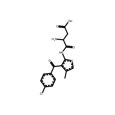 Cc1csc(NC(=O)C(N)CC(=O)O)c1C(=O)c1ccc(Cl)cc1